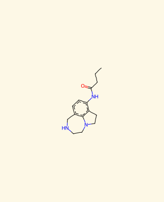 CCCC(=O)Nc1ccc2c3c1CCN3CCNC2